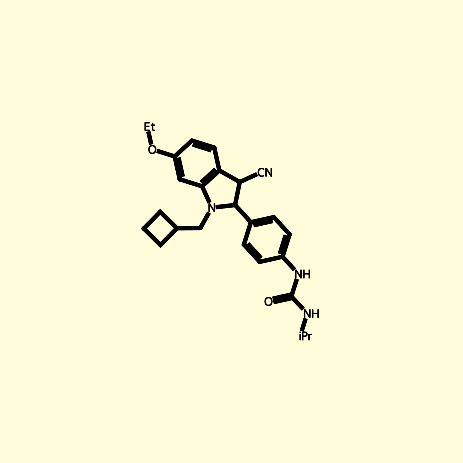 CCOc1ccc2c(c1)N(CC1CCC1)C(c1ccc(NC(=O)NC(C)C)cc1)C2C#N